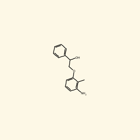 Cc1c(N)cccc1OCC(O)c1ccccc1